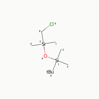 CC(C)(C)[Si](C)(C)O[Si](C)(C)CCl